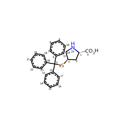 O=C(O)[C@@H]1C[C@@H](SC(c2ccccc2)(c2ccccc2)c2ccccc2)CN1